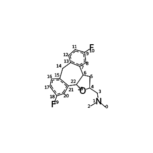 CN(C)CC1CC2c3cc(F)ccc3Cc3ccc(F)cc3C2O1